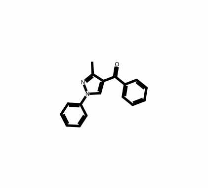 Cc1nn(-c2ccccc2)cc1C(=O)c1ccccc1